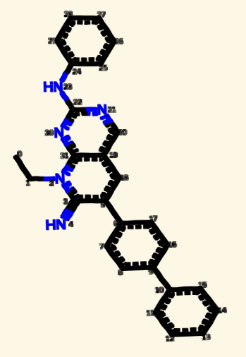 CCn1c(=N)c(-c2ccc(-c3ccccc3)cc2)cc2cnc(Nc3ccccc3)nc21